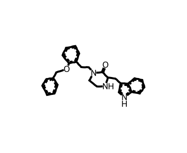 O=C1C(Cc2c[nH]c3ccccc23)NCCN1CCc1ccccc1OCc1ccccc1